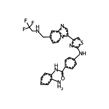 Nc1ccccc1NC(=O)c1ccc(Nc2nc(-c3cnc4cc(CNCC(F)(F)F)ccn34)cs2)cc1